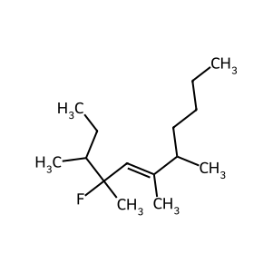 CCCCC(C)/C(C)=C/C(C)(F)C(C)CC